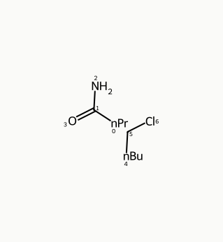 CCCC(N)=O.CCCCCCl